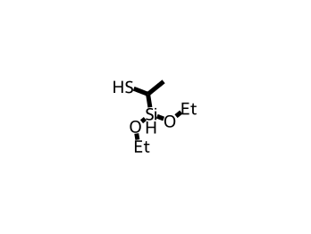 CCO[SiH](OCC)C(C)S